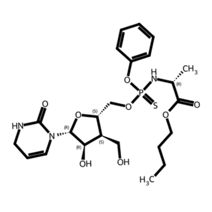 CCCCOC(=O)[C@@H](C)NP(=S)(OC[C@H]1O[C@@H](N2C=CCNC2=O)[C@H](O)[C@@H]1CO)Oc1ccccc1